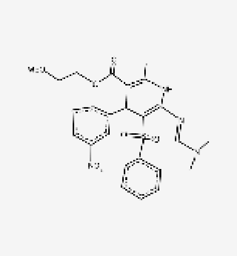 COCCOC(=O)C1=C(C)NC(N=CN(C)C)=C(S(=O)(=O)c2ccccc2)C1c1cccc([N+](=O)[O-])c1